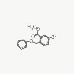 COC(=O)c1cc(Br)ccc1COc1ccccc1